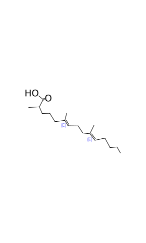 CCCC/C=C(\C)CC/C=C(\C)CCCC(C)C(=O)O